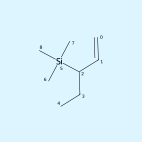 C=CC(CC)[Si](C)(C)C